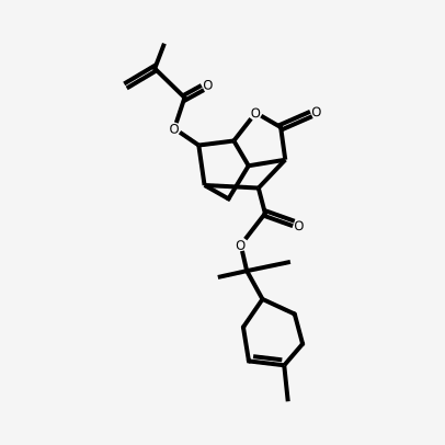 C=C(C)C(=O)OC1C2CC3C1OC(=O)C3C2C(=O)OC(C)(C)C1CC=C(C)CC1